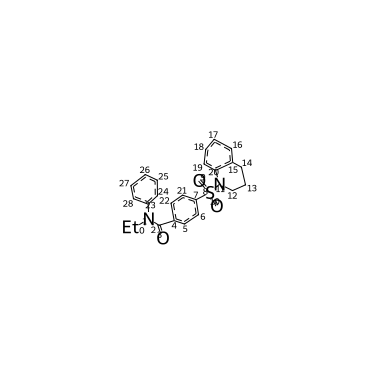 CCN(C(=O)c1ccc(S(=O)(=O)N2CCCc3ccccc32)cc1)c1ccccc1